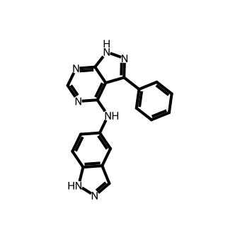 c1ccc(-c2n[nH]c3ncnc(Nc4ccc5[nH]ncc5c4)c23)cc1